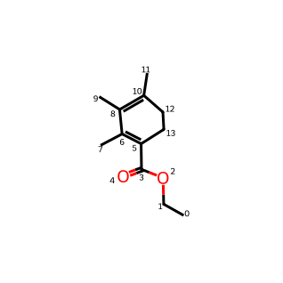 CCOC(=O)C1=C(C)C(C)=C(C)CC1